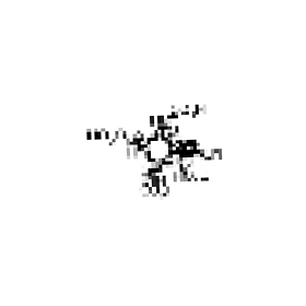 N#CSc1ccc(C[C@H]2CN(CC(=O)NCC(=O)O)CCN(CC(=O)NCC(=O)O)CCN(CC(=O)NCC(=O)O)CCN2CC(=O)NCC(=O)O)cc1